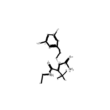 CCNC(=O)C([C@H](CCc1cc(F)cc(F)c1)C(N)=O)C(C)(C)C